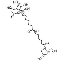 CO[C@@H]1C[C@@H](CO)N(C(=O)CCCCCNC(=O)CCCCCO[C@H](O)[C@@]2(NC(C)=O)C(O)[C@@H](O)C2CO)C1